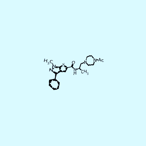 CC(=O)N1CCN(CC(C)NC(=O)c2cc3c(-c4ccccc4)nn(C)c3s2)CC1